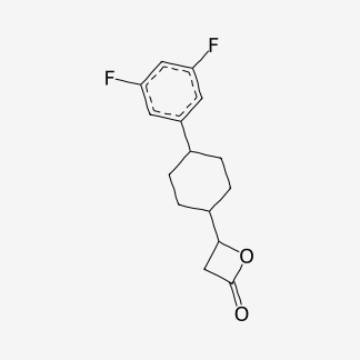 O=C1CC(C2CCC(c3cc(F)cc(F)c3)CC2)O1